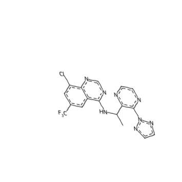 CC(Nc1ncnc2c(Cl)cc(C(F)(F)F)cc12)c1nccnc1-n1nccn1